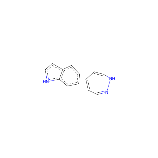 C1=CC=NNC=C1.c1ccc2[nH]ccc2c1